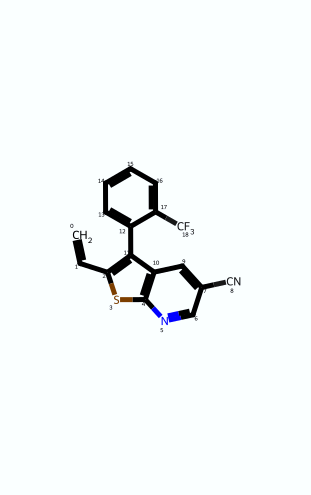 C=Cc1sc2ncc(C#N)cc2c1-c1ccccc1C(F)(F)F